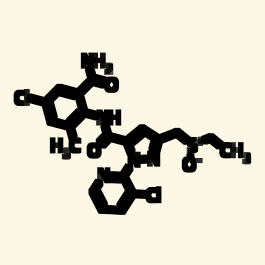 CC[S@@+]([O-])Cc1cc(C(=O)Nc2c(C)cc(Cl)cc2C(N)=O)n(-c2ncccc2Cl)n1